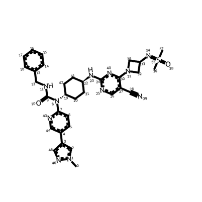 Cn1cc(-c2ccc(N(C(=O)NCc3ccccc3)[C@H]3CC[C@H](Nc4ncc(C#N)c(N5CC(N=S(C)(C)=O)C5)n4)CC3)nc2)cn1